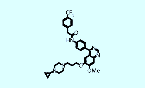 COc1cc2ncnc(-c3ccc(NC(=O)Cc4ccc(C(F)(F)F)cc4)cc3)c2cc1OCCCN1CCN(C2CC2)CC1